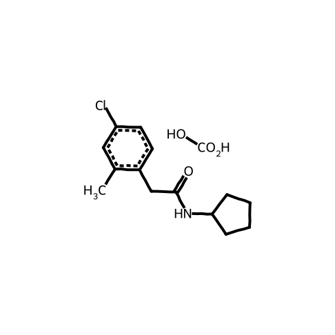 Cc1cc(Cl)ccc1CC(=O)NC1CCCC1.O=C(O)O